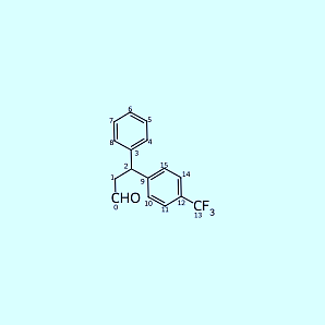 O=CCC(c1ccccc1)c1ccc(C(F)(F)F)cc1